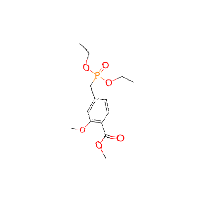 CCOP(=O)(Cc1ccc(C(=O)OC)c(OC)c1)OCC